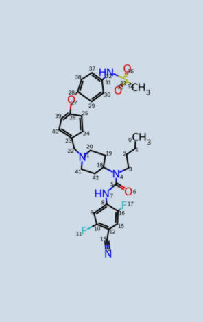 CCCCN(C(=O)Nc1cc(F)c(C#N)cc1F)C1CCN(Cc2ccc(Oc3ccc(NS(C)(=O)=O)cc3)cc2)CC1